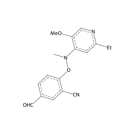 CCc1cc(N(C)Oc2ccc(C=O)cc2C#N)c(OC)cn1